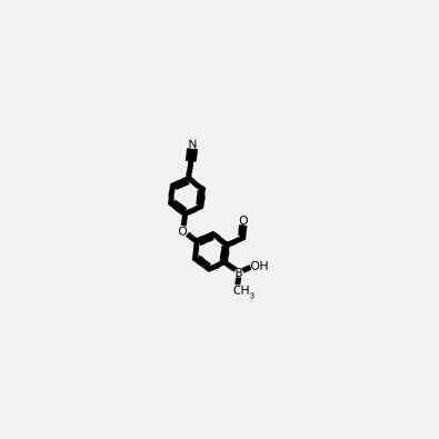 CB(O)c1ccc(Oc2ccc(C#N)cc2)cc1C=O